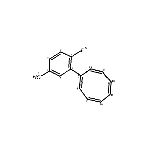 Oc1ccc(F)c(C2=C/C=C\C=C/C=C\2)c1